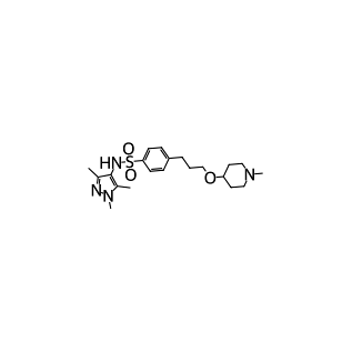 Cc1nn(C)c(C)c1NS(=O)(=O)c1ccc(CCCOC2CCN(C)CC2)cc1